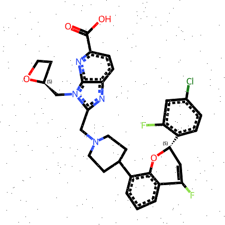 O=C(O)c1ccc2nc(CN3CCC(c4cccc5c4O[C@H](c4ccc(Cl)cc4F)C=C5F)CC3)n(C[C@@H]3CCO3)c2n1